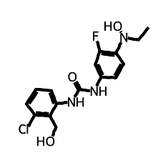 CCN(O)c1ccc(NC(=O)Nc2cccc(Cl)c2CO)cc1F